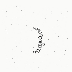 CN1CCC(Oc2cccc(CNC(=O)c3cc(Cc4ccc(Cl)cc4)on3)c2)CC1